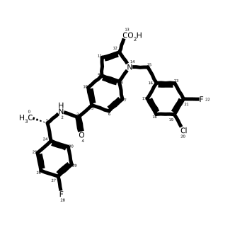 C[C@H](NC(=O)c1ccc2c(c1)cc(C(=O)O)n2Cc1ccc(Cl)c(F)c1)c1ccc(F)cc1